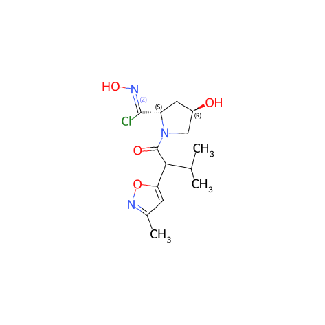 Cc1cc(C(C(=O)N2C[C@H](O)C[C@H]2/C(Cl)=N/O)C(C)C)on1